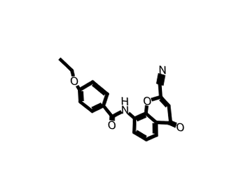 CCOc1ccc(C(=O)Nc2cccc3c(=O)cc(C#N)oc23)cc1